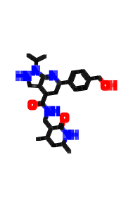 CC1CC(C)C(CNC(=O)C2CC(c3ccc(CO)cc3)N=C3C2CNN3C(C)C)C(=O)N1